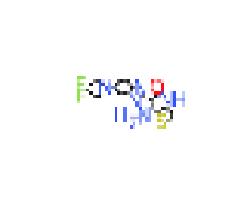 Nc1c(-c2nc3ccc(N4CCC(F)(F)CC4)cc3[nH]2)c(=O)[nH]c2ccsc12